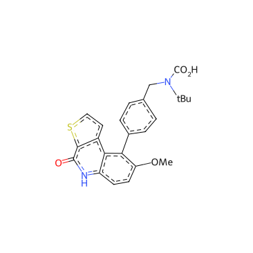 COc1ccc2[nH]c(=O)c3sccc3c2c1-c1ccc(CN(C(=O)O)C(C)(C)C)cc1